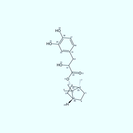 CC1(C)[C@@H]2CC[C@]1(C)[C@@H](OC(=O)C(O)Cc1ccc(O)c(O)c1)C2